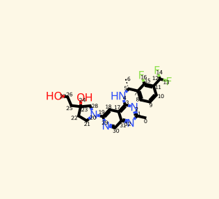 Cc1nc(N[C@H](C)c2cccc(C(F)F)c2F)c2cc(N3CCC(O)(CCO)C3)ncc2n1